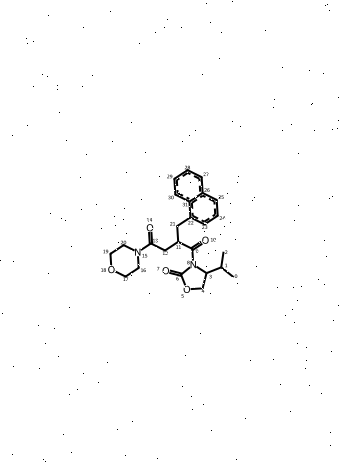 CC(C)C1COC(=O)N1C(=O)C(CC(=O)N1CCOCC1)Cc1cccc2ccccc12